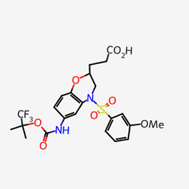 COc1cccc(S(=O)(=O)N2CC(CCC(=O)O)Oc3ccc(NC(=O)OC(C)(C)C(F)(F)F)cc32)c1